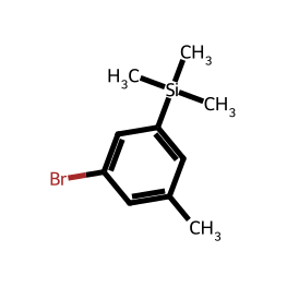 Cc1cc(Br)cc([Si](C)(C)C)c1